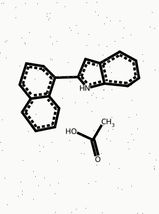 CC(=O)O.c1ccc2[nH]c(-c3cccc4ccccc34)cc2c1